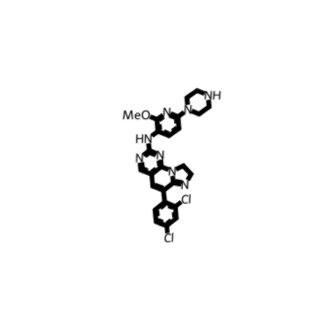 COc1nc(N2CCNCC2)ccc1Nc1ncc2c(n1)N1CCN=C1C(c1ccc(Cl)cc1Cl)=C2